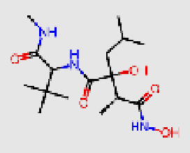 CNC(=O)[C@@H](NC(=O)[C@](O)(CC(C)C)[C@H](C)C(=O)NO)C(C)(C)C